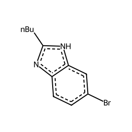 CCCCc1nc2ccc(Br)cc2[nH]1